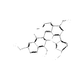 Cc1c2cc(CC(C)(C)C)ccc2c(CC(C)(C)C)c2c1c1c3c(cc[n+]1C)c(CC(C)(C)C)cc1c4ccc(CC(C)(C)C)cc4n2c13